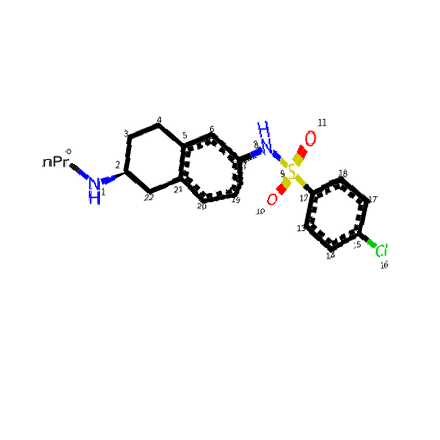 CCCN[C@H]1CCc2cc(NS(=O)(=O)c3ccc(Cl)cc3)ccc2C1